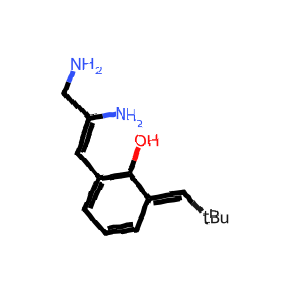 CC(C)(C)C=C1C=CC=C(C=C(N)CN)C1O